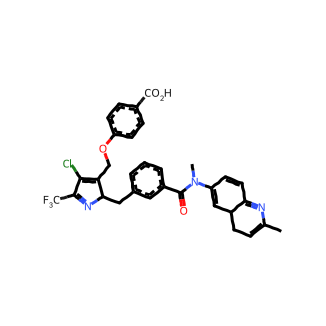 CC1=CCC2C=C(N(C)C(=O)c3cccc(CC4N=C(C(F)(F)F)C(Cl)=C4COc4ccc(C(=O)O)cc4)c3)C=CC2=N1